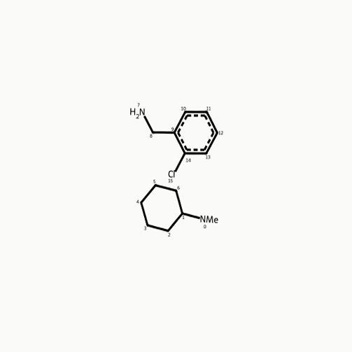 CNC1CCCCC1.NCc1ccccc1Cl